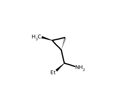 CC[C@H](N)[C@H]1C[C@@H]1C